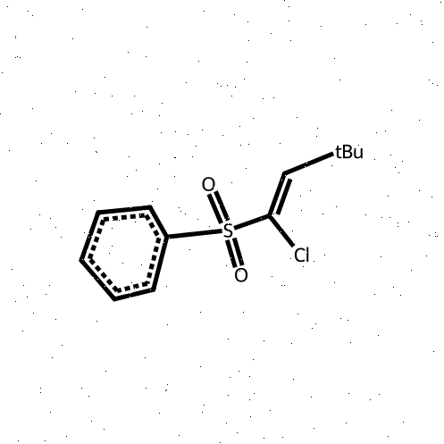 CC(C)(C)C=C(Cl)S(=O)(=O)c1ccccc1